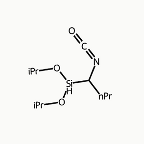 CCCC(N=C=O)[SiH](OC(C)C)OC(C)C